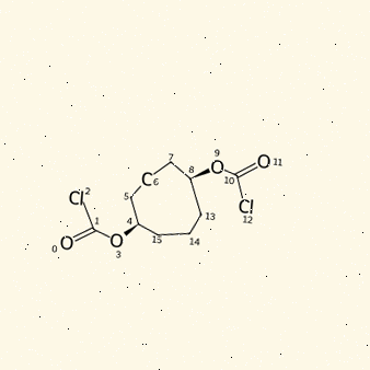 O=C(Cl)O[C@H]1CCC[C@@H](OC(=O)Cl)CCC1